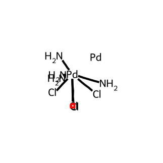 [NH2][Pd]([NH2])([NH2])([NH2])([Cl])([Cl])([Cl])[Cl].[Pd]